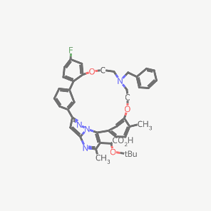 Cc1ccc2cc1OCCN(Cc1ccccc1)CCOc1cc(F)ccc1-c1cccc(c1)-c1cc3nc(C)c([C@H](OC(C)(C)C)C(=O)O)c-2n3n1